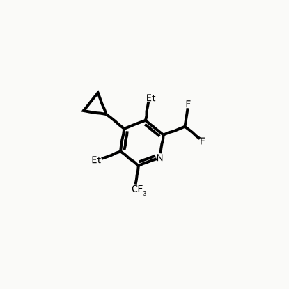 CCc1c(C(F)F)nc(C(F)(F)F)c(CC)c1C1CC1